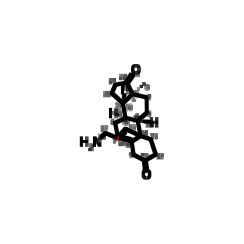 C[C@]12CC[C@H]3[C@@H](CC=C4CC(=O)CCC43C=CCN)[C@@H]1CCC2=O